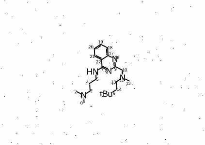 CN(C)CCCNc1nc(CN(C)CCC(C)(C)C)nc2ccccc12